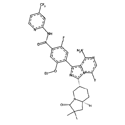 CCOc1cc(C(=O)Nc2cc(C(F)(F)F)ccn2)c(F)cc1-c1nc([C@@H]2CC[C@H]3CC(C)(C)C(=O)N3C2)n2c(F)cnc(N)c12